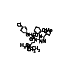 COc1cccc(C=O)c1-n1c(-c2ccco2)nnc1N(CC[Si](C)(C)C)S(=O)(=O)CCc1ccc(Cl)cc1